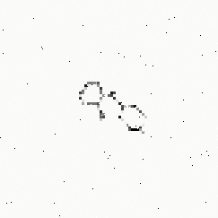 Fc1ccccc1OC1CCOCC1